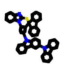 c1ccc2c(c1)-c1ccccc1C21Sc2nc3ccccc3n2-c2ccc(-n3c4ccccc4c4cc(-n5c6ccccc6c6ccccc65)ccc43)cc21